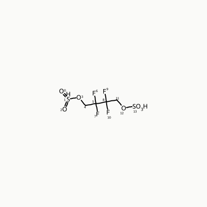 O=[SH](=O)OCC(F)(F)C(F)(F)COS(=O)(=O)O